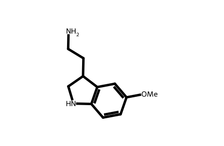 COc1ccc2c(c1)C(CCN)CN2